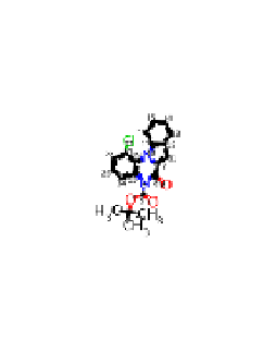 CC(C)(C)OC(=O)n1c(=O)c2cc3ccccc3n2c2c(Cl)cccc21